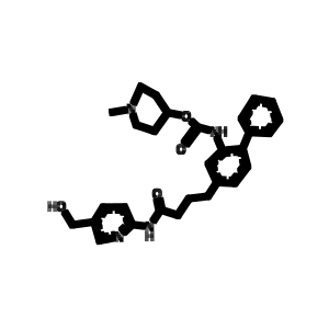 CN1CCC(OC(=O)Nc2cc(CCCC(=O)Nc3ccc(CO)cn3)ccc2-c2ccccc2)CC1